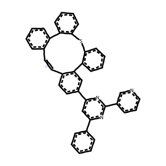 C1=C\c2ccc(-c3cc(-c4ccccc4)nc(-c4cccnc4)n3)cc2-c2ccccc2Sc2ccccc2-c2ccccc2/1